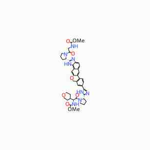 COC(=O)NCC(=O)N1CCC[C@H]1c1nc2ccc3cc4c(cc3c2[nH]1)OCc1cc(-c2cnc([C@@H]3CCCN3C(=O)C(NC(=O)OC)C3CCOCC3)[nH]2)ccc1-4